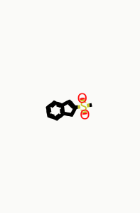 CS(=O)(=O)C1=Cc2ccccc2C1